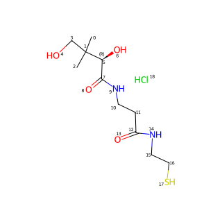 CC(C)(CO)[C@@H](O)C(=O)NCCC(=O)NCCS.Cl